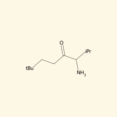 CC(C)C(N)C(=O)CCC(C)(C)C